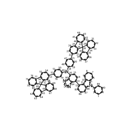 c1ccc(-n2c3ccccc3c3c(-c4ccc(N(c5ccc(-c6ccc7c(c6)C6(c8ccccc8-c8ccccc86)c6ccccc6-7)cc5)c5ccc(-c6ccc7c(c6)C6(c8ccccc8-c8ccccc86)c6ccccc6-7)cc5)c5nsnc45)cccc32)cc1